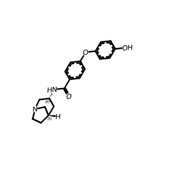 O=C(N[C@@H]1C[C@@H]2CCN(C2)C1)c1ccc(Oc2ccc(O)cc2)cc1